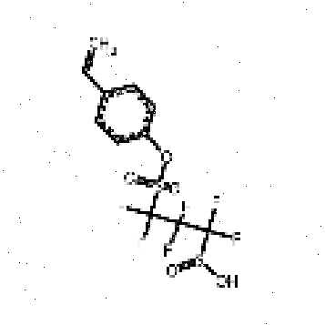 C=Cc1ccc(OS(=O)(=O)C(F)(F)C(F)(F)C(F)(F)S(=O)O)cc1